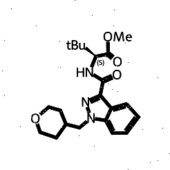 COC(=O)[C@@H](NC(=O)c1nn(CC2CCOCC2)c2ccccc12)C(C)(C)C